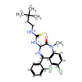 CN1C(=O)C(NC(=S)NCCC(C)(C)C)N=C(c2ccccc2Cl)c2cc(Cl)ccc21